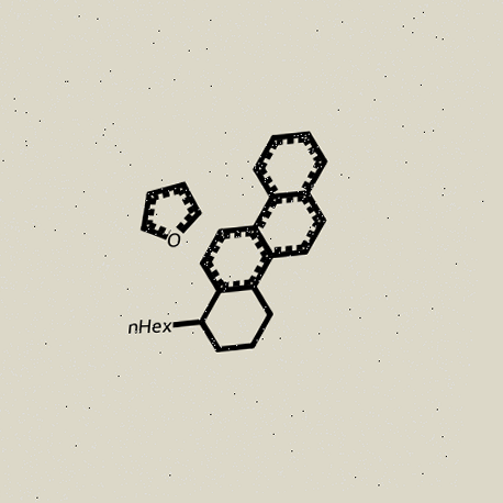 CCCCCCC1CCCc2c1ccc1c2ccc2ccccc21.c1ccoc1